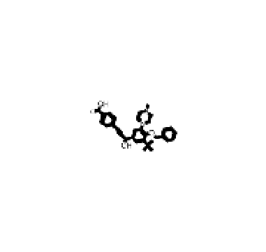 CN1CCN(c2cc(C(O)C#Cc3ccc(C(=O)O)cc3)cc(C(C)(C)C)c2OCc2ccccc2)CC1